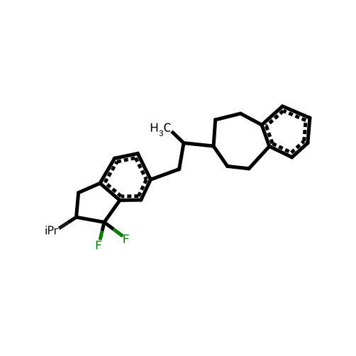 CC(C)C1Cc2ccc(CC(C)C3CCc4ccccc4CC3)cc2C1(F)F